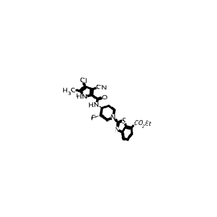 CCOC(=O)c1cccc2nc(N3CC[C@@H](NC(=O)c4[nH]c(C)c(Cl)c4C#N)[C@@H](F)C3)sc12